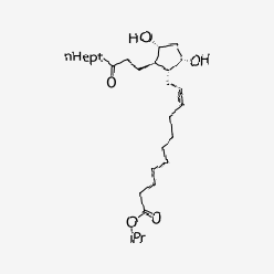 CCCCCCCC(=O)CC[C@@H]1[C@@H](C/C=C\CCCCCCCC(=O)OC(C)C)[C@@H](O)C[C@H]1O